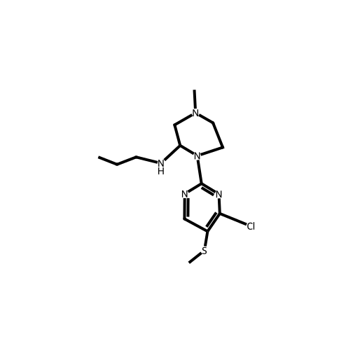 CCCNC1CN(C)CCN1c1ncc(SC)c(Cl)n1